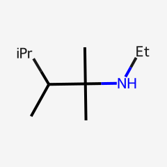 CCNC(C)(C)C(C)C(C)C